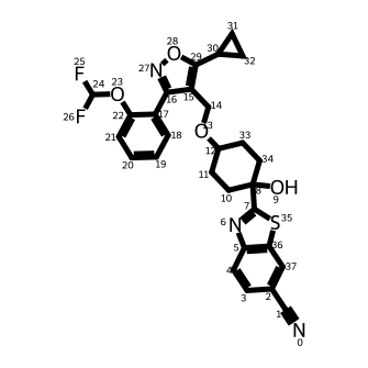 N#Cc1ccc2nc(C3(O)CCC(OCc4c(-c5ccccc5OC(F)F)noc4C4CC4)CC3)sc2c1